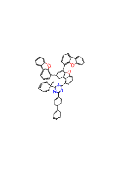 CC1(c2nc(C3=CCC(c4ccccc4)C=C3)nc(-c3cccc4oc5c(c34)CC(c3cccc4c3oc3ccccc34)C=C5c3cccc4c3oc3ccccc34)n2)C=CC=CC1